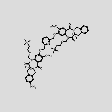 COc1cc2c(cc1OCc1cccc(COc3cc4c(cc3OC)C(=O)N3Cc5cc(N)ccc5C[C@H]3C(=O)N4COCC[Si](C)(C)C)n1)N(COCC[Si](C)(C)C)C(=O)[C@@H]1Cc3ccccc3CN1C2=O